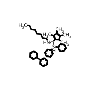 CCCCCCCC[NH][Ti]([C]1=C(C)C(C)=C(C)C1C)[SiH](c1ccccc1)c1ccccc1.c1ccc(-c2ccccc2)cc1